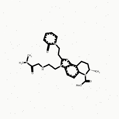 COC(=O)N1c2ccc3c(nc(CCn4ccccc4=O)n3CCNCC(=O)N(C)C)c2CC[C@@H]1C